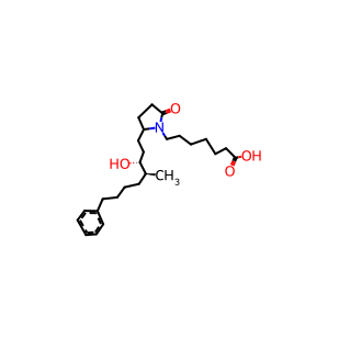 C[C@@H](CCCCc1ccccc1)[C@H](O)CCC1CCC(=O)N1CCCCCCC(=O)O